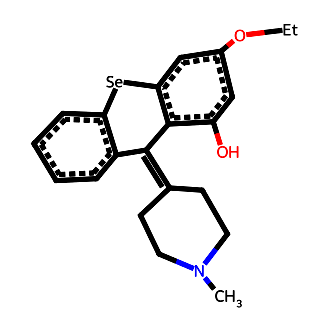 CCOc1cc(O)c2c(c1)[Se]c1ccccc1C2=C1CCN(C)CC1